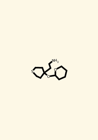 NCCC1(OC2CCCCO2)CCSCC1